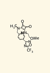 COCCNc1c(N(C)Cc2ccc(-c3noc(C(F)(F)F)n3)cn2)c(=O)c1=O